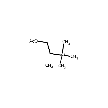 C.CC(=O)OCC[N+](C)(C)C